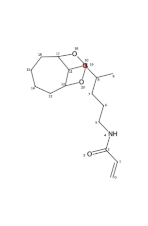 C=CC(=O)NCCCC(C)OC1C2CCCCC1OSO2